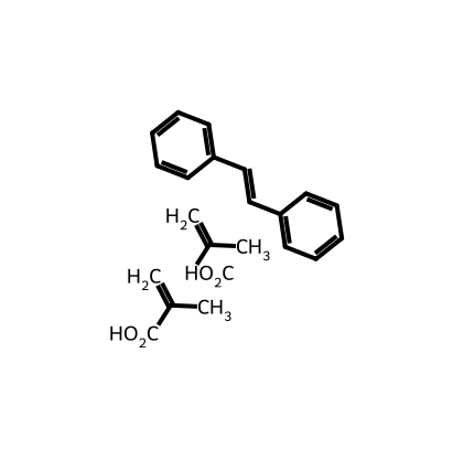 C(=C\c1ccccc1)/c1ccccc1.C=C(C)C(=O)O.C=C(C)C(=O)O